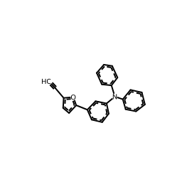 C#Cc1ccc(-c2cccc(N(c3ccccc3)c3ccccc3)c2)o1